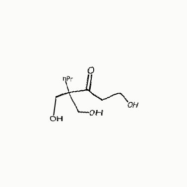 CCCC(CO)(CO)C(=O)CCO